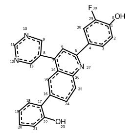 Oc1ccc(-c2cc(-c3cncnc3)c3cc(-c4ccccc4O)ccc3n2)cc1F